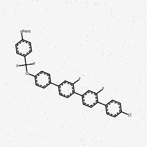 CCCCCc1ccc(C(F)(F)Oc2ccc(-c3ccc(-c4ccc(-c5ccc(Cl)cc5)c(F)c4)c(F)c3)cc2)cc1